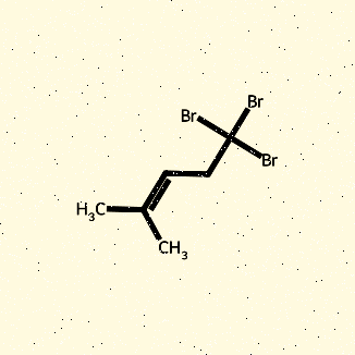 CC(C)=CCC(Br)(Br)Br